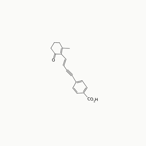 CC1=C(C=CC#Cc2ccc(C(=O)O)cc2)C(=O)CCC1